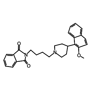 COc1ccc2ccccc2c1C1CCN(CCCCN2C(=O)c3ccccc3C2=O)CC1